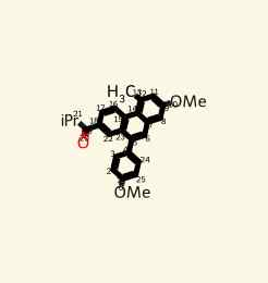 COc1ccc(-c2cc3cc(OC)cc(C)c3c3ccc(C(=O)C(C)C)cc23)cc1